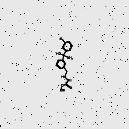 CC(C)(C)OC(=O)NNCc1cccc(C(N)(O)c2cccc(Cl)c2)c1